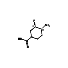 N[C@@H]1CCN(C(=O)O)C[C@H]1F